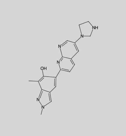 Cc1c(O)c(-c2ccc3cc(N4CCNC4)cnc3n2)cc2cn(C)nc12